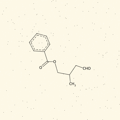 CC(CC=O)COC(=O)c1ccccc1